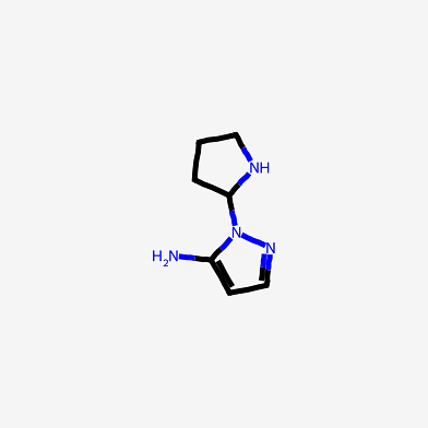 Nc1ccnn1C1CCCN1